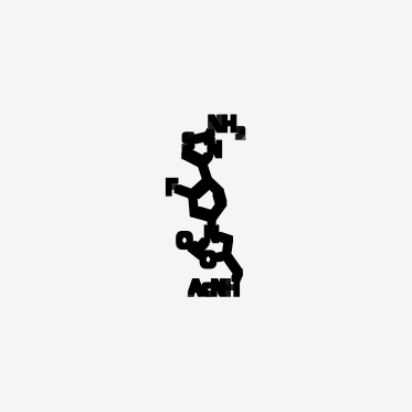 CC(=O)NCC1CN(c2ccc(-c3csc(N)n3)c(F)c2)C(=O)O1